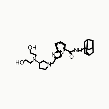 O=C(NCC12CC3CC(CC(C3)C1)C2)c1cccc2nc(CN3CC[C@@H](N(CCO)CCO)C3)cn12